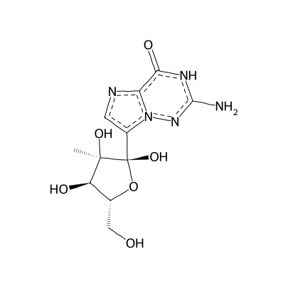 C[C@@]1(O)[C@H](O)[C@@H](CO)O[C@@]1(O)c1cnc2c(=O)[nH]c(N)nn12